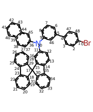 Brc1ccc(-c2cccc(N(c3ccc4c(c3)C3(c5ccccc5-c5ccccc53)c3ccccc3-4)c3ccc4ccccc4c3)c2)cc1